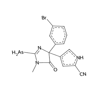 CN1C(=O)C(c2cccc(Br)c2)(c2c[nH]c(C#N)c2)N=C1[AsH2]